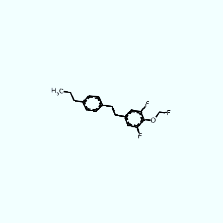 CCCc1ccc(CCc2cc(F)c(OCF)c(F)c2)cc1